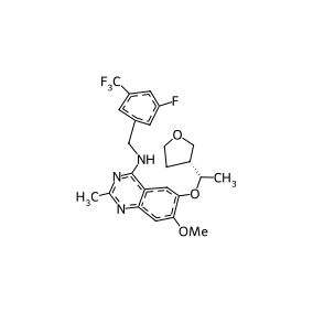 COc1cc2nc(C)nc(NCc3cc(F)cc(C(F)(F)F)c3)c2cc1OC(C)[C@@H]1CCOC1